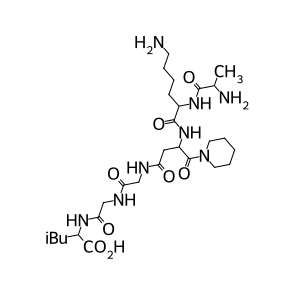 CCC(C)C(NC(=O)CNC(=O)CNC(=O)CC(NC(=O)C(CCCCN)NC(=O)C(C)N)C(=O)N1CCCCC1)C(=O)O